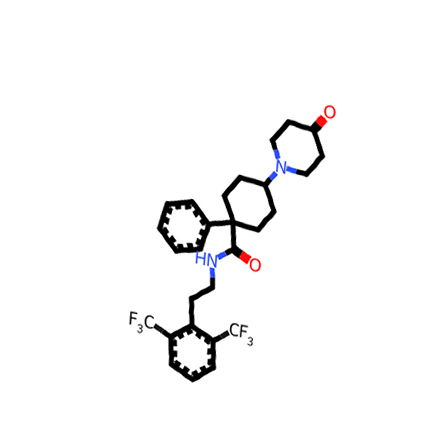 O=C1CCN(C2CCC(C(=O)NCCc3c(C(F)(F)F)cccc3C(F)(F)F)(c3ccccc3)CC2)CC1